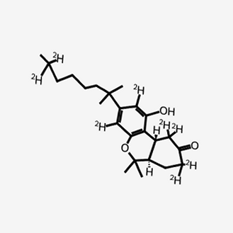 [2H]c1c(O)c2c(c([2H])c1C(C)(C)CCCCC([2H])([2H])C)OC(C)(C)[C@@H]1CC([2H])([2H])C(=O)C([2H])([2H])[C@@H]21